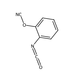 N#COc1ccccc1N=C=O